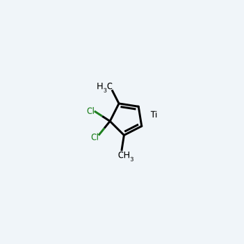 CC1=CC=C(C)C1(Cl)Cl.[Ti]